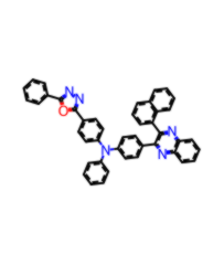 c1ccc(-c2nnc(-c3ccc(N(c4ccccc4)c4ccc(-c5nc6ccccc6nc5-c5cccc6ccccc56)cc4)cc3)o2)cc1